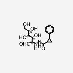 O=C[C@H](NNC(=O)C1CC1c1ccccc1)[C@@H](O)[C@H](O)[C@H](O)CO